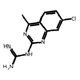 Cc1nc(NC(=N)N)nc2cc(Cl)ccc12